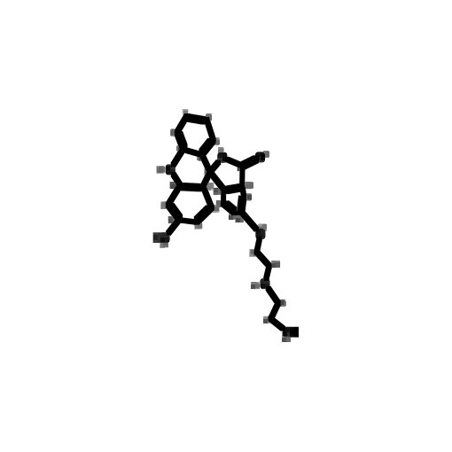 O=C1OC2(c3ccccc3Oc3cc(O)ccc32)c2ccc(OCCOCCO)cc21